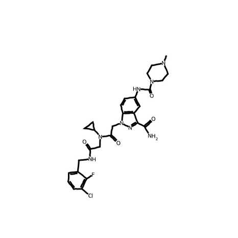 CN1CCN(C(=O)Nc2ccc3c(c2)c(C(N)=O)nn3CC(=O)N(CC(=O)NCc2cccc(Cl)c2F)C2CC2)CC1